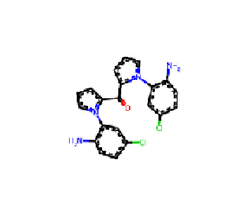 Nc1ccc(Cl)cc1-n1cccc1C(=O)c1cccn1-c1cc(Cl)ccc1N